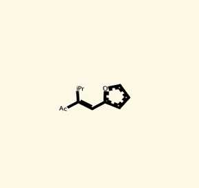 CC(=O)/C(=C/c1ccco1)C(C)C